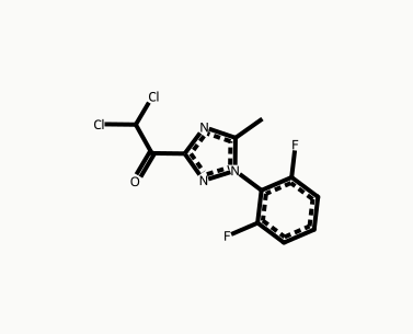 Cc1nc(C(=O)C(Cl)Cl)nn1-c1c(F)cccc1F